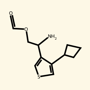 NC(COC=O)c1cscc1C1CCC1